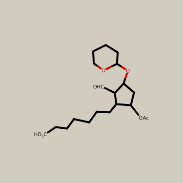 CC(=O)OC1CC(OC2CCCCO2)C(C=O)C1CCCCCCC(=O)O